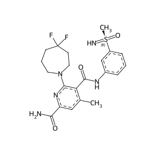 Cc1cc(C(N)=O)nc(N2CCCC(F)(F)CC2)c1C(=O)Nc1cccc([S@](C)(=N)=O)c1